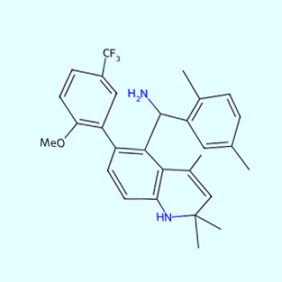 COc1ccc(C(F)(F)F)cc1-c1ccc2c(c1C(N)c1cc(C)ccc1C)C(C)=CC(C)(C)N2